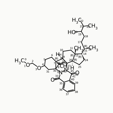 COCOC1CC[C@]2(C)[C@H]3CC[C@]4(C)[C@@H]([C@H](C)CCC(O)C(C)C)CC[C@H]4C34C=CC2(C1)n1c(=O)c2ccccc2c(=O)n14